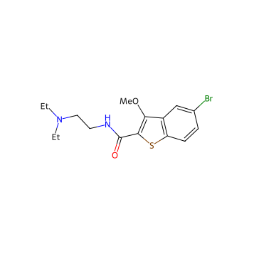 CCN(CC)CCNC(=O)c1sc2ccc(Br)cc2c1OC